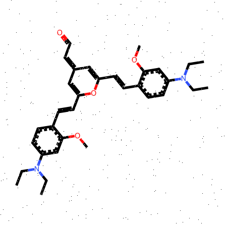 CCN(CC)c1ccc(/C=C/C2=CC(=CC=O)C=C(/C=C/c3ccc(N(CC)CC)cc3OC)O2)c(OC)c1